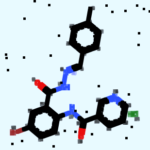 Cc1ccc(/C=N/NC(=O)c2cc(Br)ccc2NC(=O)c2cccnc2)cc1.Cl